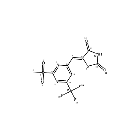 CS(=O)(=O)c1nc(/C=C2\SC(=O)NC2=O)cc(C(F)(F)F)n1